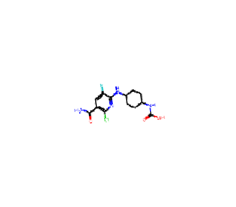 NC(=O)c1cc(F)c(NC2CCC(NC(=O)O)CC2)nc1Cl